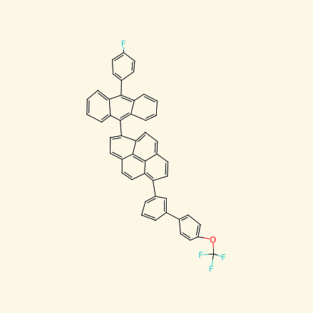 Fc1ccc(-c2c3ccccc3c(-c3ccc4ccc5c(-c6cccc(-c7ccc(OC(F)(F)F)cc7)c6)ccc6ccc3c4c65)c3ccccc23)cc1